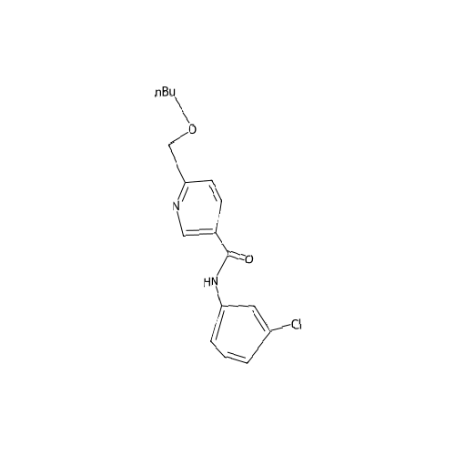 CCCCOCc1ccc(C(=O)Nc2cccc(Cl)c2)cn1